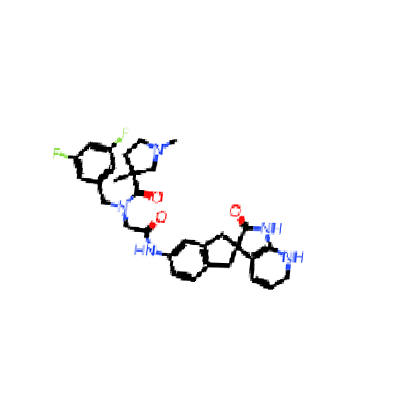 CN1CCC(C)(C(=O)N(CC(=O)Nc2ccc3c(c2)CC2(C3)C(=O)NC3=C2C=CCN3)Cc2cc(F)cc(F)c2)C1